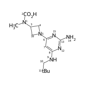 CN(C(=O)O)C1CN(c2cc(NCC(C)(C)C)nc(N)n2)C1